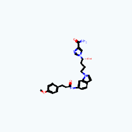 COc1ccc(CCC(=O)Nc2ccc3ccn(CCC[C@@H](O)n4cnc(C(N)=O)c4)c3c2)cc1